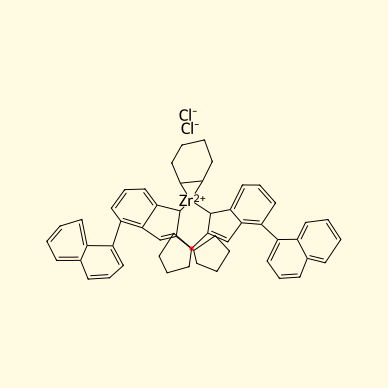 C1=C(C2CCCC2)[CH]([Zr+2]2([CH]3C(C4CCCC4)=Cc4c(-c5cccc6ccccc56)cccc43)[CH]3CCCC[CH]32)c2cccc(-c3cccc4ccccc34)c21.[Cl-].[Cl-]